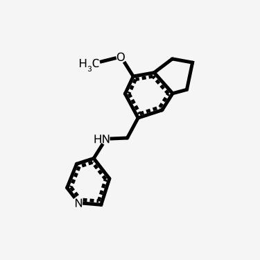 COc1cc(CNc2ccncc2)cc2c1CCC2